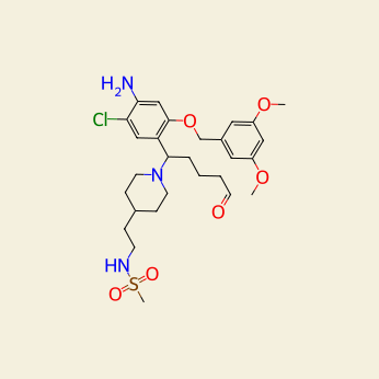 COc1cc(COc2cc(N)c(Cl)cc2C(CCCC=O)N2CCC(CCNS(C)(=O)=O)CC2)cc(OC)c1